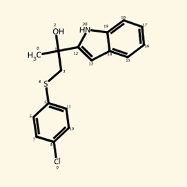 CC(O)(CSc1ccc(Cl)cc1)c1cc2ccccc2[nH]1